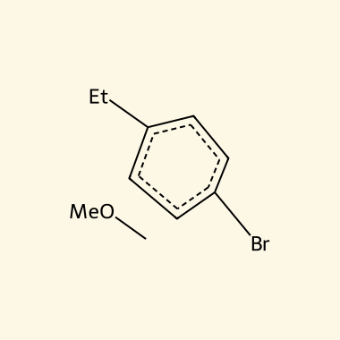 CCc1ccc(Br)cc1.COC